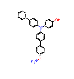 NOc1ccc(-c2ccc(N(c3ccc(O)cc3)c3ccc(-c4ccccc4)cc3)cc2)cc1